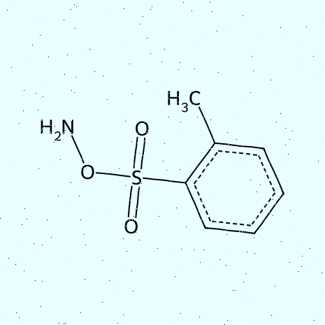 Cc1ccccc1S(=O)(=O)ON